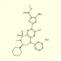 COC(=O)c1sc(-c2cc3c(cc2Cl)N(c2ccccc2)C[C@@H](C2CCCCC2)N(C)S3(=O)=O)cc1N.Cl